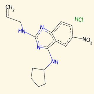 C=CCNc1nc(NC2CCCC2)c2cc([N+](=O)[O-])ccc2n1.Cl